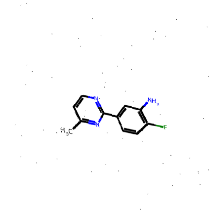 Cc1ccnc(-c2ccc(F)c(N)c2)n1